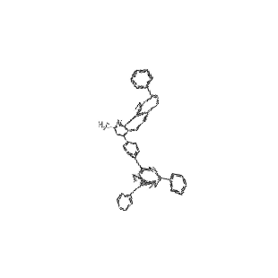 Cc1cc(-c2ccc(-c3nc(-c4ccccc4)nc(-c4ccccc4)n3)cc2)c2ccc3ccc(-c4ccccc4)nc3c2n1